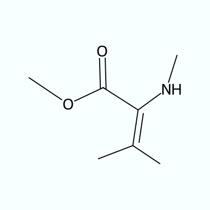 CNC(C(=O)OC)=C(C)C